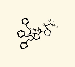 C[C@H](N)C(=O)N1CCC[C@H]1C(=O)N1CCC(CCc2ccccc2)(CCc2ccccc2)[C@@]1([PH2]=O)C(=O)OCc1ccccc1